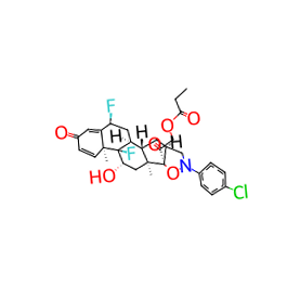 CCC(=O)OCC(=O)[C@@]12ON(c3ccc(Cl)cc3)C[C@@H]1C[C@H]1[C@@H]3C[C@H](F)C4=CC(=O)C=C[C@]4(C)[C@@]3(F)[C@@H](O)C[C@@]12C